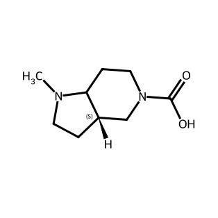 CN1CC[C@H]2CN(C(=O)O)CCC21